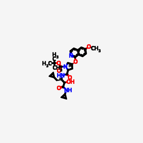 COc1ccc2c(O[C@@H]3CC(C(=O)N[C@@H](CC4CC4)C(O)C(=O)NC4CC4)N(C(=O)OC(C)(C)C)C3)nccc2c1